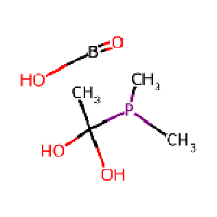 CP(C)C(C)(O)O.O=BO